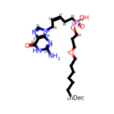 CCCCCCCCCCCCCCCCOCCCOP(=O)(O)CC/C=C\Cn1cnc2c(=O)[nH]c(N)nc21